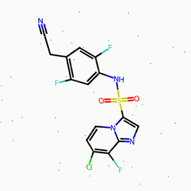 N#CCc1cc(F)c(NS(=O)(=O)c2cnc3c(F)c(Cl)ccn23)cc1F